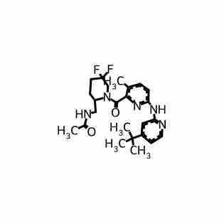 CC(=O)NCC1CCC(F)(F)CN1C(=O)c1nc(Nc2cc(C(C)(C)C)ccn2)ccc1C